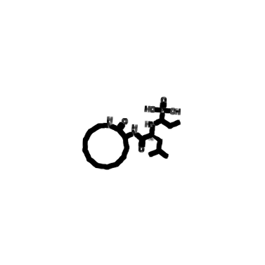 CCC(N[C@@H](CC(C)C)C(=O)NC1CCCCCCCCCCNC1=O)P(=O)(O)O